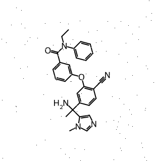 CCN(C(=O)c1cccc(Oc2cc(C(C)(N)c3cncn3C)ccc2C#N)c1)c1ccccc1